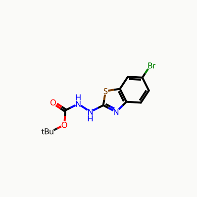 CC(C)(C)OC(=O)NNc1nc2ccc(Br)cc2s1